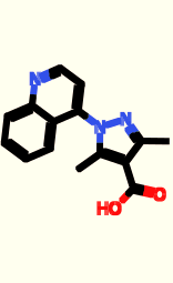 Cc1nn(-c2ccnc3ccccc23)c(C)c1C(=O)O